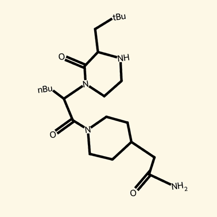 CCCCC(C(=O)N1CCC(CC(N)=O)CC1)N1CCNC(CC(C)(C)C)C1=O